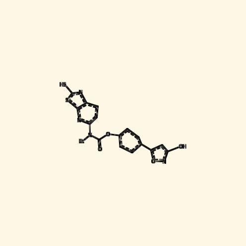 CCN(C(=O)Oc1ccc(-c2cc(O)no2)cc1)c1ccc2nc(S)sc2n1